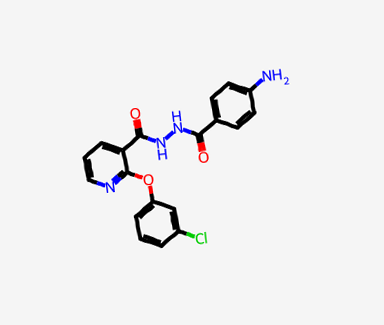 Nc1ccc(C(=O)NNC(=O)c2cccnc2Oc2cccc(Cl)c2)cc1